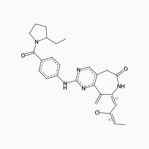 C=C1/C(=C\C(Cl)=C/C)NC(=O)Cc2cnc(Nc3ccc(C(=O)N4CCCC4CC)cc3)nc21